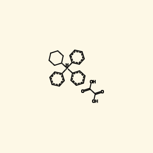 O=C(O)C(=O)O.c1ccc([PH](c2ccccc2)(c2ccccc2)C2CCCCC2)cc1